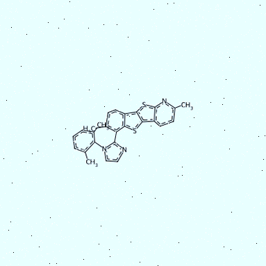 Cc1ccc2c(n1)sc1c3ccc(C)c(-c4nccn4-c4c(C)cccc4C)c3sc21